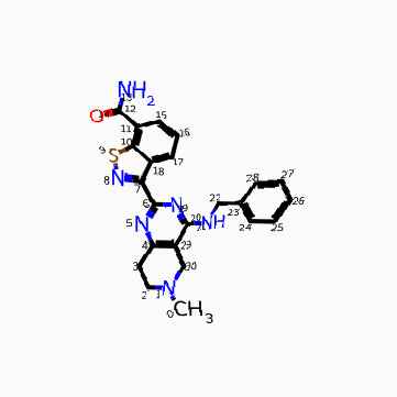 CN1CCc2nc(-c3nsc4c(C(N)=O)cccc34)nc(NCc3ccccc3)c2C1